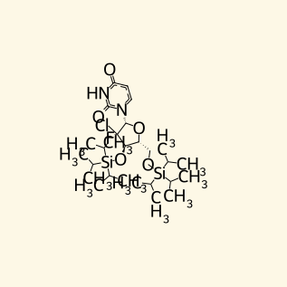 CC(C)[Si](OC[C@H]1O[C@@H](n2ccc(=O)[nH]c2=O)[C@@](F)(Cl)[C@@H]1O[Si](C(C)C)(C(C)C)C(C)C)(C(C)C)C(C)C